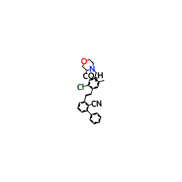 Cc1cc(C=Cc2cccc(-c3ccccc3)c2C#N)c(Cl)cc1CN1CCOCC1C(=O)O